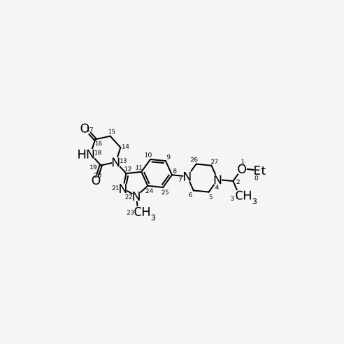 CCOC(C)N1CCN(c2ccc3c(N4CCC(=O)NC4=O)nn(C)c3c2)CC1